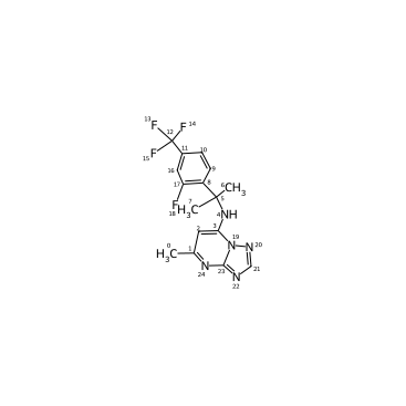 Cc1cc(NC(C)(C)c2ccc(C(F)(F)F)cc2F)n2ncnc2n1